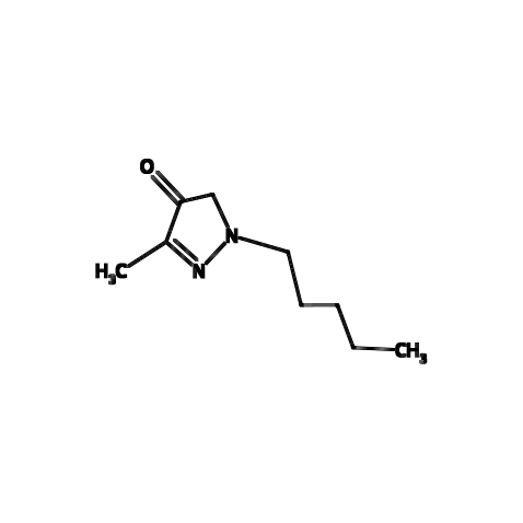 CCCCCN1CC(=O)C(C)=N1